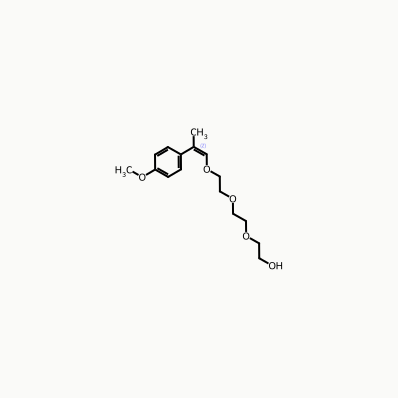 COc1ccc(/C(C)=C\OCCOCCOCCO)cc1